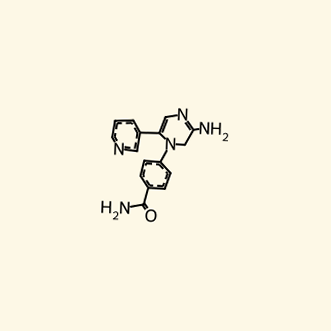 NC(=O)c1ccc(N2CC(N)=NC=C2c2cccnc2)cc1